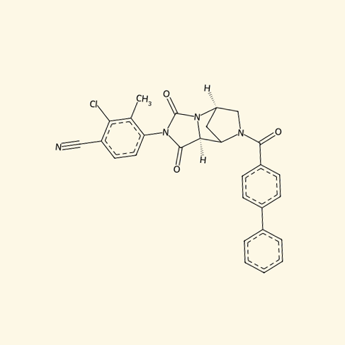 Cc1c(N2C(=O)[C@@H]3C4C[C@H](CN4C(=O)c4ccc(-c5ccccc5)cc4)N3C2=O)ccc(C#N)c1Cl